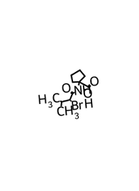 CC(C)[C@H](Br)C(=O)NC1(C(=O)O)CCCC1